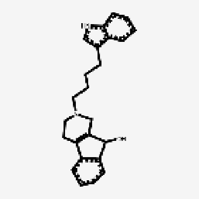 OC1C2=C(CCN(CCCCc3c[nH]c4ccccc34)C2)c2ccccc21